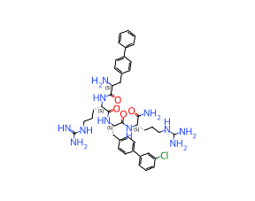 N=C(N)NCCC[C@H](NC(=O)[C@@H](N)Cc1ccc(-c2ccccc2)cc1)C(=O)N[C@@H](Cc1ccc(-c2cccc(Cl)c2)cc1)C(=O)N[C@@H](CCCNC(N)N)C(N)=O